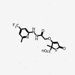 CCCCCCCCC1(C)SC(=O)C=C1OCC(=O)NNc1cc(C(F)(F)F)cc(C)n1